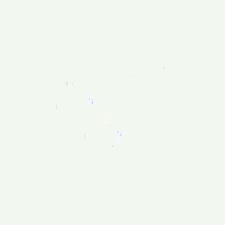 C=Cc1ccc2ccccc2n1.CCN(CC)C(=O)C=Cc1ccccc1